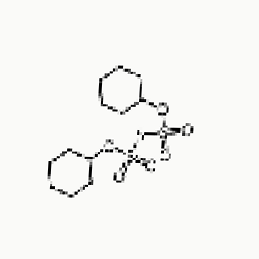 O=S(=O)(OC1CCCCC1)SS(=O)(=O)OC1CCCCC1